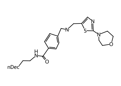 CCCCCCCCCCCCNC(=O)c1ccc(C[N]Cc2cnc(N3CCOCC3)s2)cc1